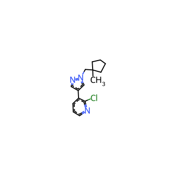 CC1(Cn2cc(-c3cccnc3Cl)cn2)CCCC1